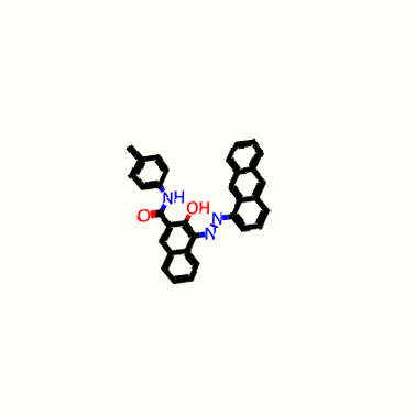 Cc1ccc(NC(=O)c2cc3ccccc3c(/N=N/c3cccc4cc5ccccc5cc34)c2O)cc1